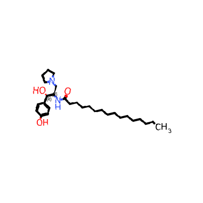 CCCCCCCCCCCCCCCC(=O)N[C@H](CN1CCCC1)[C@H](O)c1ccc(O)cc1